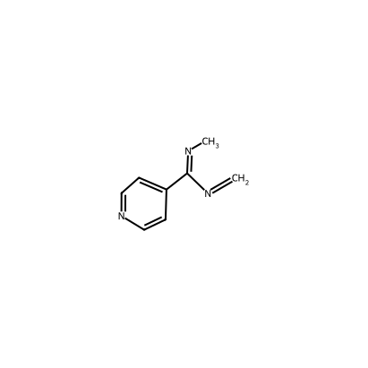 C=N/C(=N\C)c1ccncc1